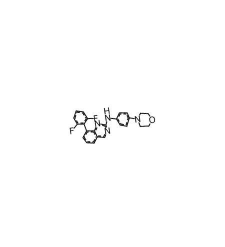 Fc1cccc(F)c1-c1cccc2cnc(Nc3ccc(N4CCOCC4)cc3)nc12